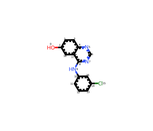 Oc1ccc2ncnc(Nc3cccc(Cl)c3)c2c1